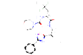 C=C(c1nc(-c2ccccc2)no1)[C@H](CC)NC(=O)[C@H](CC(C)(F)F)NC(=O)N1CCOCC1